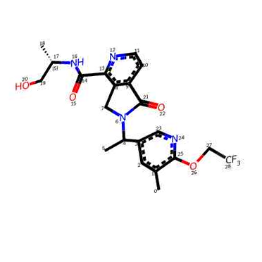 Cc1cc(C(C)N2Cc3c(ccnc3C(=O)N[C@@H](C)CO)C2=O)cnc1OCC(F)(F)F